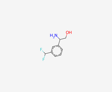 NC(CO)c1cccc(C(F)F)c1